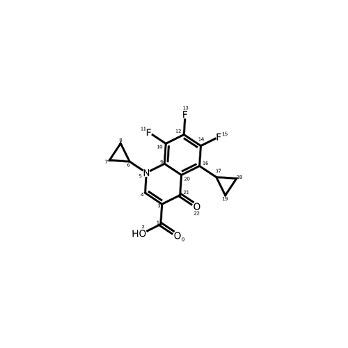 O=C(O)c1cn(C2CC2)c2c(F)c(F)c(F)c(C3CC3)c2c1=O